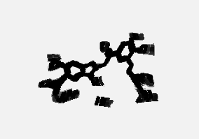 Br.CCOc1cc2c(cc1C(=O)NC)C(=N)N(CC(=O)c1cc(CCC(=O)OC)c(O)c(C(C)(C)C)c1)C2